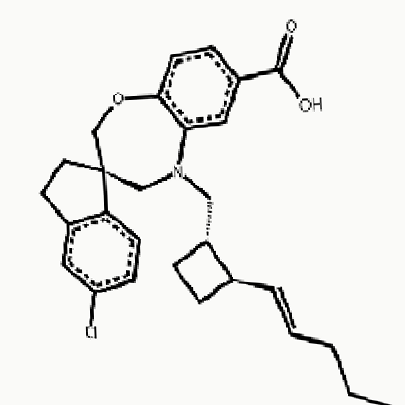 CCC/C=C/[C@H]1CC[C@@H]1CN1C[C@@]2(CCc3cc(Cl)ccc32)COc2ccc(C(=O)O)cc21